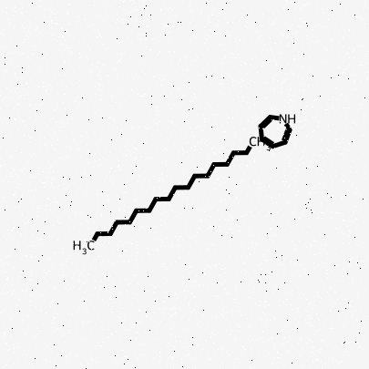 C1=CC=CNC=C1.CCCCCCCCCCCCCCCCCC